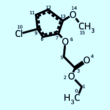 CCOC(=O)COc1cc(Cl)ccc1OC